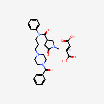 CN1CC(C(=O)N(CCCN2CCN(C(=O)c3ccccc3)CC2)c2ccccc2)CC1=O.O=C(O)/C=C/C(=O)O